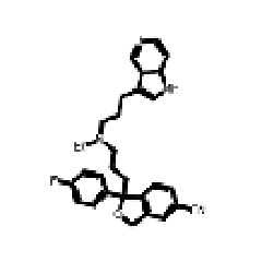 CCN(CCCC1=CNC2C=CI=CC12)CCCC1(c2ccc(F)cc2)OCc2cc(C#N)ccc21